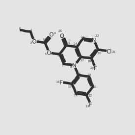 CCOC(=O)Oc1cn(-c2ccc(F)cc2F)c2c(F)c(Cl)ncc2c1=O